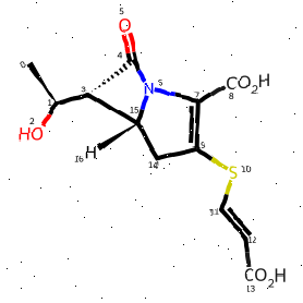 C[C@H](O)[C@@H]1C(=O)N2C(C(=O)O)=C(SC=CC(=O)O)C[C@H]12